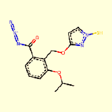 CC(C)Oc1cccc(C(=O)N=[N+]=[N-])c1COc1ccn(S)n1